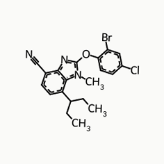 CCC(CC)c1ccc(C#N)c2nc(Oc3ccc(Cl)cc3Br)n(C)c12